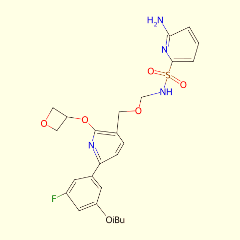 CC(C)COc1cc(F)cc(-c2ccc(COCNS(=O)(=O)c3cccc(N)n3)c(OC3COC3)n2)c1